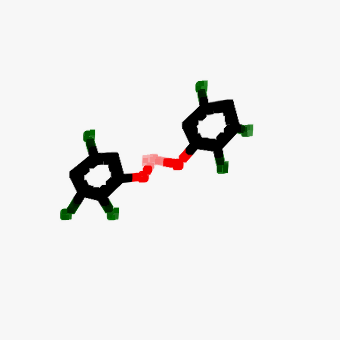 Clc1cc(Cl)c(Cl)c(OBOc2cc(Cl)cc(Cl)c2Cl)c1